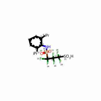 CC(C)c1cccc(C(C)C)c1NS(=O)(=O)C(F)(F)C(F)(F)C(F)(F)S(=O)(=O)O